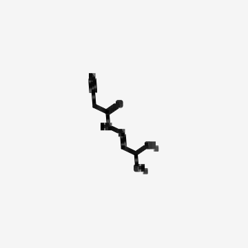 CC(C)/C=N/NC(=O)CC#N